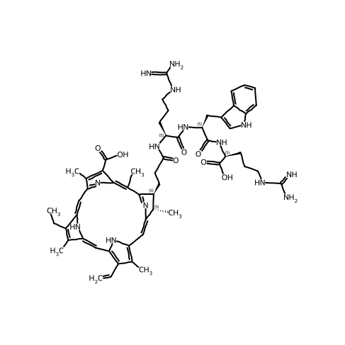 C=Cc1c(C)c2cc3nc(c(C)c4nc(cc5[nH]c(cc1[nH]2)c(C)c5CC)C(C)=C4C(=O)O)[C@@H](CCC(=O)N[C@@H](CCCNC(=N)N)C(=O)N[C@@H](Cc1c[nH]c2ccccc12)C(=O)N[C@@H](CCCNC(=N)N)C(=O)O)[C@@H]3C